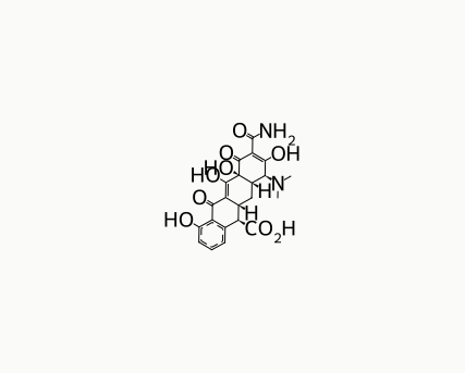 CN(C)[C@@H]1C(O)=C(C(N)=O)C(=O)[C@@]2(O)C(O)=C3C(=O)c4c(O)cccc4[C@H](C(=O)O)[C@H]3C[C@@H]12